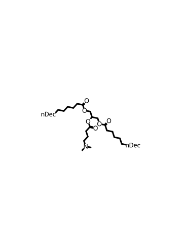 CCCCCCCCCCCCCCCC(=O)OCC(COC(=O)CCCCCCCCCCCCCCC)OC(=O)CCCN(C)C